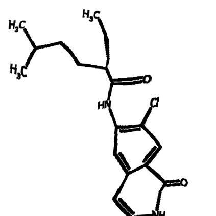 CC[C@H](CCC(C)C)C(=O)Nc1cc2cc[nH]c(=O)c2cc1Cl